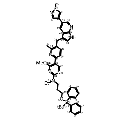 CCN(CCCO[Si](c1ccccc1)(c1ccccc1)C(C)(C)C)c1ncc(-c2ccc(Cc3c[nH]c4ncc(-c5cnn(C)c5)cc34)c(C)n2)c(OC)n1